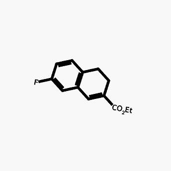 CCOC(=O)C1=Cc2cc(F)ccc2CC1